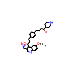 COc1ccc2ncc(CN)c([C@H](O)CCc3ccc(CCC[C@H](O)C4CCNCC4)cc3)c2c1